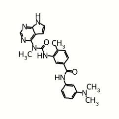 Cc1ccc(C(=O)Nc2cccc(N(C)C)c2)cc1NC(=O)N(C)c1ncnc2[nH]ccc12